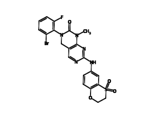 CN1C(=O)N(c2c(F)cccc2Br)Cc2cnc(Nc3ccc4c(c3)S(=O)(=O)CCO4)nc21